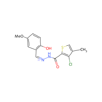 COc1ccc(O)c(/C=N\NC(=O)c2scc(C)c2Cl)c1